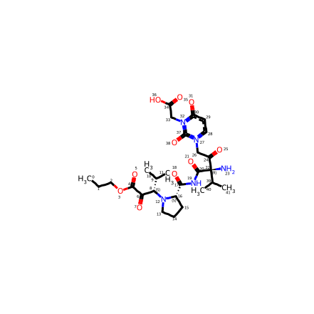 CCCOC(=O)C(=O)[C@H](C(C)C)N1CCC[C@H]1C(=O)NC(=O)[C@](N)(C(=O)Cn1ccc(=O)n(CC(=O)O)c1=O)C(C)C